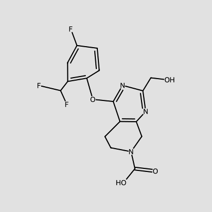 O=C(O)N1CCc2c(nc(CO)nc2Oc2ccc(F)cc2C(F)F)C1